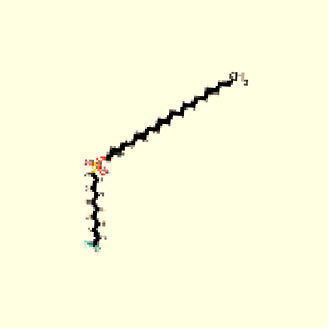 CCCCCCCCCCCCCCCCCCCCCCOS(=O)(=O)CCCCCCCCCCC(F)F